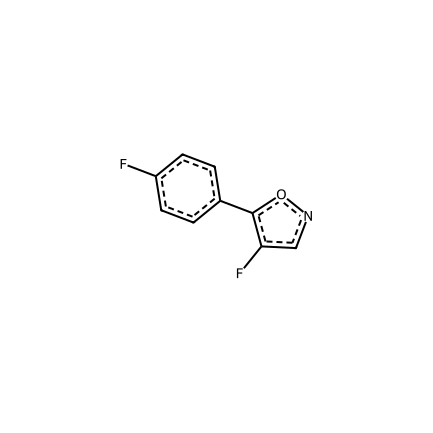 Fc1ccc(-c2oncc2F)cc1